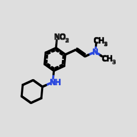 CN(C)C=Cc1cc(NC2CCCCC2)ccc1[N+](=O)[O-]